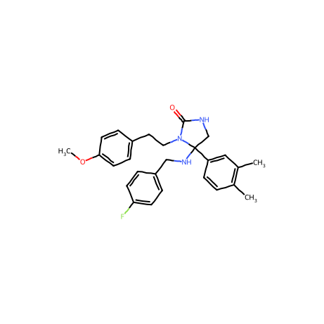 COc1ccc(CCN2C(=O)NCC2(NCc2ccc(F)cc2)c2ccc(C)c(C)c2)cc1